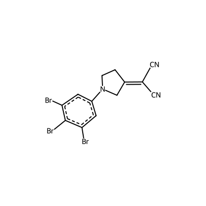 N#CC(C#N)=C1CCN(c2cc(Br)c(Br)c(Br)c2)C1